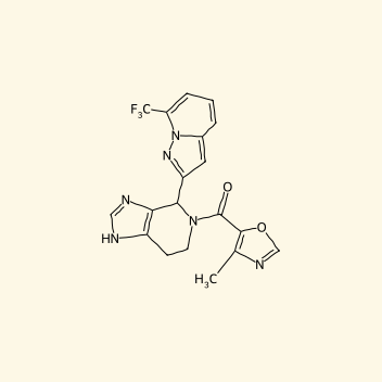 Cc1ncoc1C(=O)N1CCc2[nH]cnc2C1c1cc2cccc(C(F)(F)F)n2n1